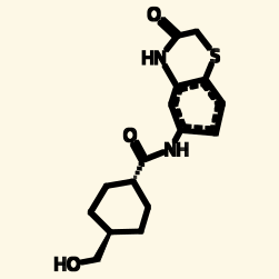 O=C1CSc2ccc(NC(=O)[C@H]3CC[C@H](CO)CC3)cc2N1